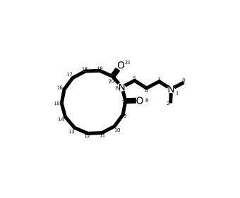 CN(C)CCCN1C(=O)CCCCCCCCCCCC1=O